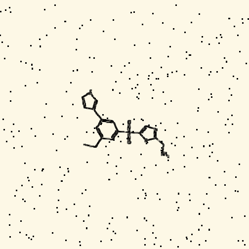 CCc1cc(-c2ccsc2)cc(S(=O)(=O)c2cnc(CN)s2)c1